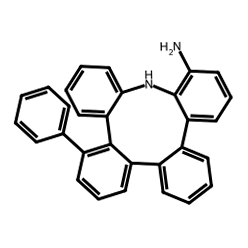 Nc1cccc2c1[nH]c1ccccc1c1c(-c3ccccc3)cccc1c1ccccc21